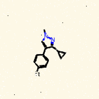 CCc1ccc(-c2cn(C)nc2C2CC2)cc1